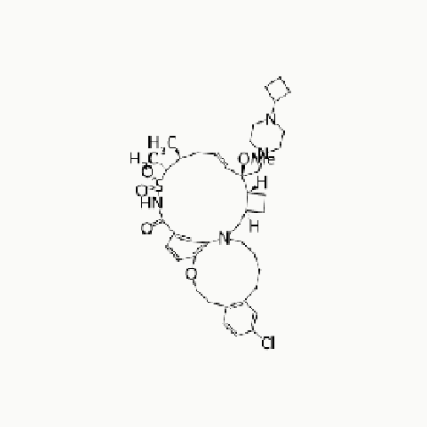 CO[C@]1(CN2CCN(C3CCC3)CC2)/C=C/C[C@H](C)[C@@H](C)S(=O)(=O)NC(=O)c2ccc3c(c2)N(CCCCc2cc(Cl)ccc2CCO3)C[C@@H]2CC[C@H]21